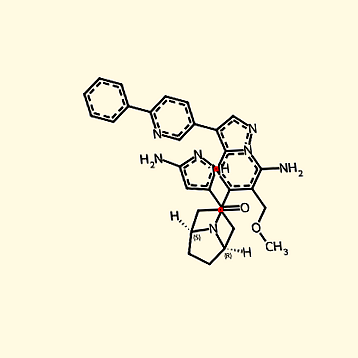 COCc1c(C2C[C@H]3CC[C@@H](C2)N3C(=O)c2cc(N)n[nH]2)nc2c(-c3ccc(-c4ccccc4)nc3)cnn2c1N